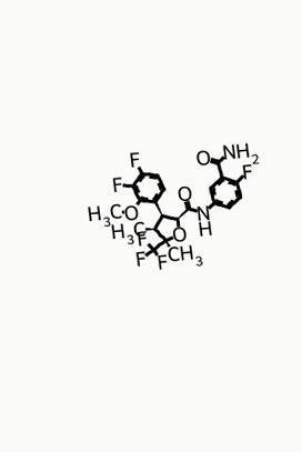 COc1c([C@H]2[C@@H](C(=O)Nc3ccc(F)c(C(N)=O)c3)O[C@](C)(C(F)(F)F)[C@H]2C)ccc(F)c1F